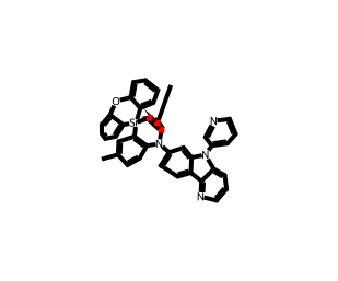 Cc1ccc2c(c1)[Si]1(c3ccccc3Oc3ccccc31)c1cc(C)ccc1N2c1ccc2c3ncccc3n(-c3cccnc3)c2c1